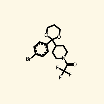 O=C(N1CCC(C2(c3ccc(Br)cc3)OCCCO2)CC1)C(F)(F)F